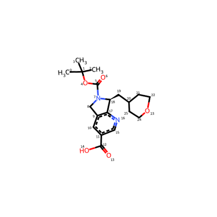 CC(C)(C)OC(=O)N1Cc2cc(C(=O)O)cnc2[C@@H]1CC1CCOCC1